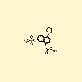 CC(C)(C)OC(=O)Oc1ccc([S+]2CCCC2)c2ccccc12.O=S(=O)([O-])C(F)(F)F